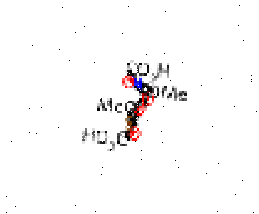 COc1cc2c(cc1OC(C)CC(C)Oc1cc3cc(C(=O)C[C@H](C)C(=O)O)sc3cc1OC)CN(C(=O)C[C@H](C)C(=O)O)C2